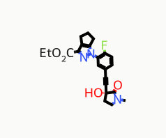 CCOC(=O)c1nn(-c2cc(C#C[C@]3(O)CCN(C)C3=O)ccc2F)c2c1CCC2